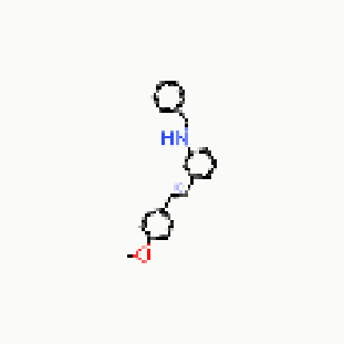 COc1ccc(/C=C/c2cccc(NCc3ccccc3)c2)cc1